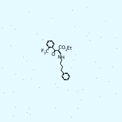 CCOC(=O)C(=CNCCCCc1ccccc1)C(=O)c1ccccc1C(F)(F)F